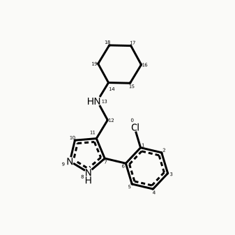 Clc1ccccc1-c1[nH]ncc1CNC1CCCCC1